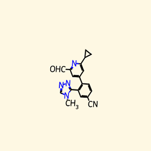 Cn1cnnc1-c1cc(C#N)ccc1-c1cc(C=O)nc(C2CC2)c1